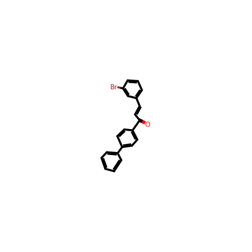 O=C(/C=C/c1cccc(Br)c1)c1ccc(-c2ccccc2)cc1